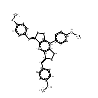 COc1ccc(C=C2CCc3c2nc2c(c3-c3ccc(OC)cc3)CCC2=Cc2ccc(OC)cc2)cc1